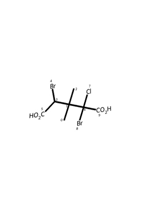 CC(C)(C(Br)C(=O)O)C(Cl)(Br)C(=O)O